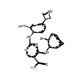 COc1cc(C2CNC2)ccc1Nc1ncc(C(N)=O)c(Nc2ccccc2Br)n1